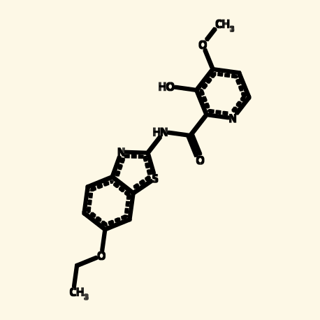 CCOc1ccc2nc(NC(=O)c3nccc(OC)c3O)sc2c1